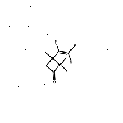 CC1(C)C(=O)CC1(C)C(F)=C(F)F